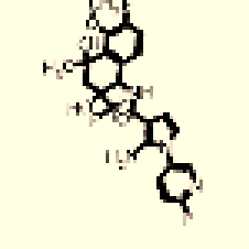 COc1c(F)ccc2c1C(C)(C)CC(O)(C(F)(F)F)C2NC(=O)c1ccn(-c2ccc(F)nc2)c1N